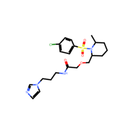 CC1CCCC(COCC(=O)NCCCn2ccnc2)N1S(=O)(=O)c1ccc(Cl)cc1